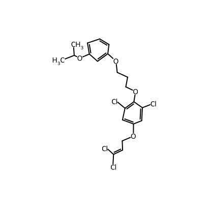 CC(C)Oc1cccc(OCCCOc2c(Cl)cc(OCC=C(Cl)Cl)cc2Cl)c1